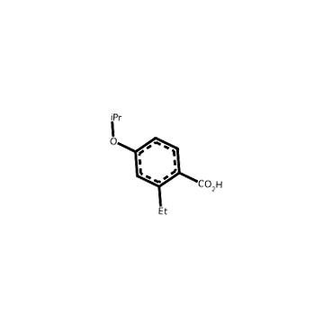 CCc1cc(OC(C)C)ccc1C(=O)O